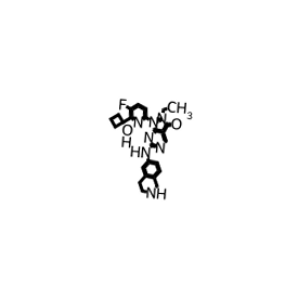 CCn1c(=O)c2cnc(Nc3ccc4c(c3)CCNC4)nc2n1-c1ccc(F)c(C2(O)CCC2)n1